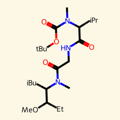 CCC(C)C(C(CC)OC)N(C)C(=O)CNC(=O)C(C(C)C)N(C)C(=O)OC(C)(C)C